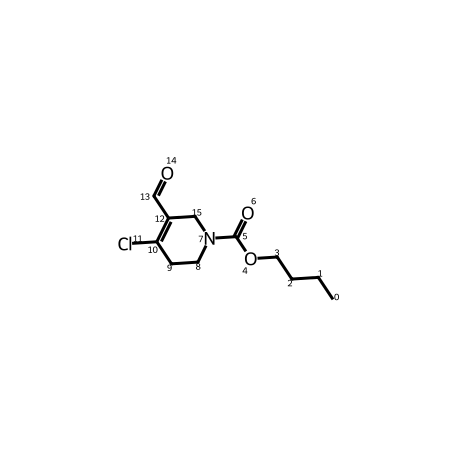 CCCCOC(=O)N1CCC(Cl)=C(C=O)C1